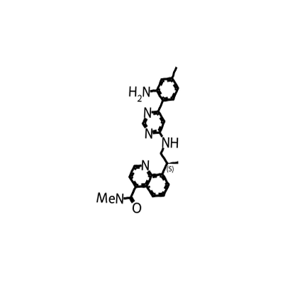 CNC(=O)c1ccnc2c([C@H](C)CNc3cc(-c4ccc(C)cc4N)ncn3)cccc12